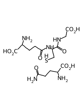 NC(=O)CCC(N)C(=O)O.NC(CCC(=O)NC(CS)C(=O)NCC(=O)O)C(=O)O